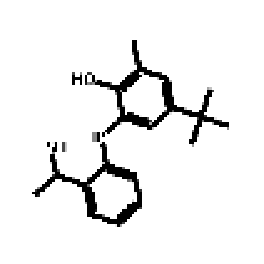 Cc1cc(C(C)(C)C)cc(Pc2ccccc2C(C)S)c1O